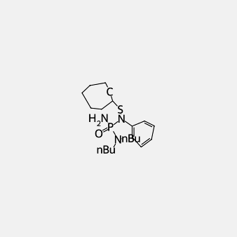 CCCCN(CCCC)P(N)(=O)N(SC1CCCCCC1)c1ccccc1